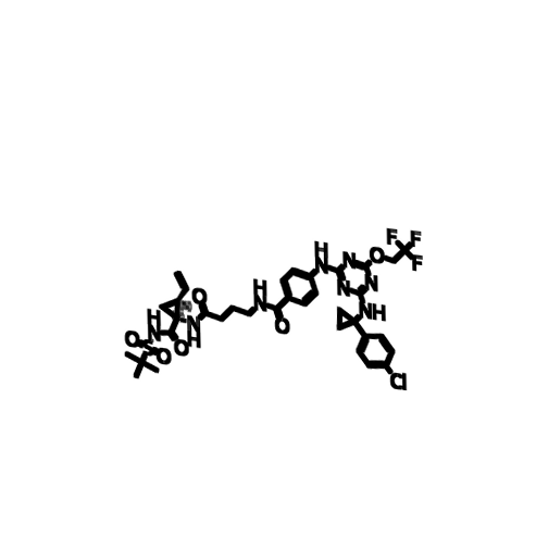 C=C[C@@H]1C[C@]1(NC(=O)CCCNC(=O)c1ccc(Nc2nc(NC3(c4ccc(Cl)cc4)CC3)nc(OCC(F)(F)F)n2)cc1)C(=O)NS(=O)(=O)C(C)(C)C